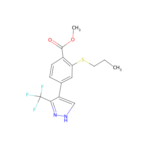 CCCSc1cc(-c2c[nH]nc2C(F)(F)F)ccc1C(=O)OC